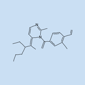 C=Cc1ccc(C(=C)N2C(C)=NC=C/C2=C(/C)C(CC)CCC)cc1C